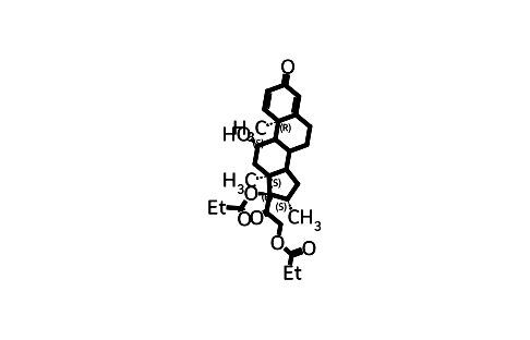 CCC(=O)OCC(=O)[C@@]1(OC(=O)CC)[C@@H](C)CC2C3CCC4=CC(=O)C=C[C@]4(C)C3[C@@H](O)C[C@@]21C